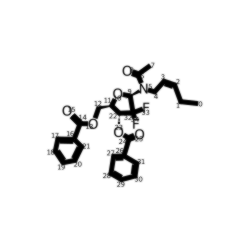 CC/C=C\CN(C(C)=O)[C@@H]1O[C@H](COC(=O)c2ccccc2)[C@@H](OC(=O)c2ccccc2)C1(F)F